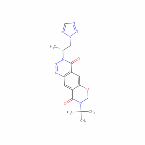 C[C@H](Cn1ncnn1)n1nnc2cc3c(cc2c1=O)OCN(C(C)(C)C)C3=O